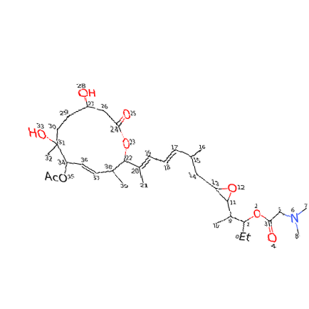 CCC(OC(=O)CN(C)C)C(C)C1OC1CC(C)/C=C/C=C(\C)C1OC(=O)CC(O)CCC(C)(O)C(OC(C)=O)/C=C/C1C